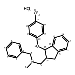 CN(Cc1ccccc1)CC1Cc2ccccc2C1Oc1ccc(C(F)(F)F)cc1.Cl